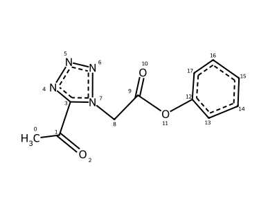 CC(=O)c1nnnn1CC(=O)Oc1ccccc1